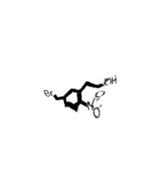 O=[N+]([O-])c1ccc(CBr)cc1CCO